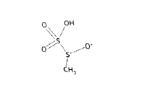 C[S+]([O-])S(=O)(=O)O